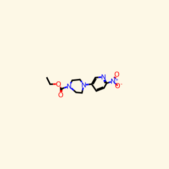 CCOC(=O)N1CCN(c2ccc([N+](=O)[O-])nc2)CC1